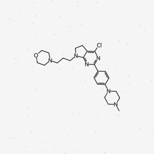 CN1CCN(c2ccc(-c3nc(Cl)c4c(n3)N(CCCN3CCOCC3)CC4)cc2)CC1